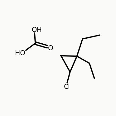 CCC1(CC)CC1Cl.O=C(O)O